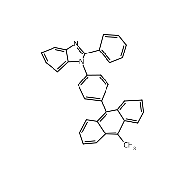 Cc1c2ccccc2c(-c2ccc(-n3c(-c4ccccc4)nc4ccccc43)cc2)c2ccccc12